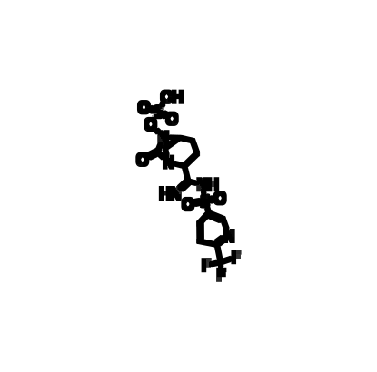 N=C(NS(=O)(=O)c1ccc(C(F)(F)F)nc1)C1CCC2CN1C(=O)N2OS(=O)(=O)O